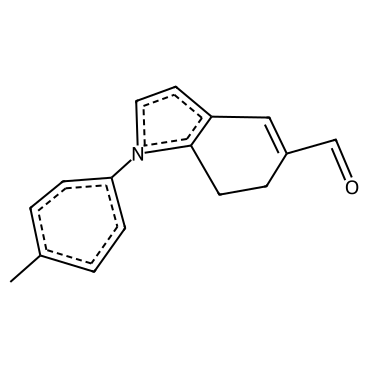 Cc1ccc(-n2ccc3c2CCC(C=O)=C3)cc1